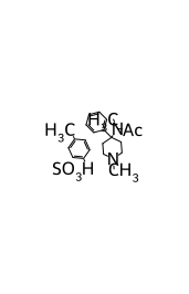 CC(=O)N(C)C1(c2ccccc2)CCN(C)CC1.Cc1ccc(S(=O)(=O)O)cc1